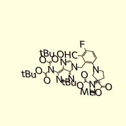 COC(=O)[C@@]1(NC(=O)OC(C)(C)C)CCN(c2ccc(F)c(C=O)c2Cn2cnc3c(N(C(=O)OC(C)(C)C)C(=O)OC(C)(C)C)ncnc32)C1